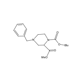 COC(=O)C1CN(Cc2ccccc2)CCN1C(=O)OC(C)(C)C